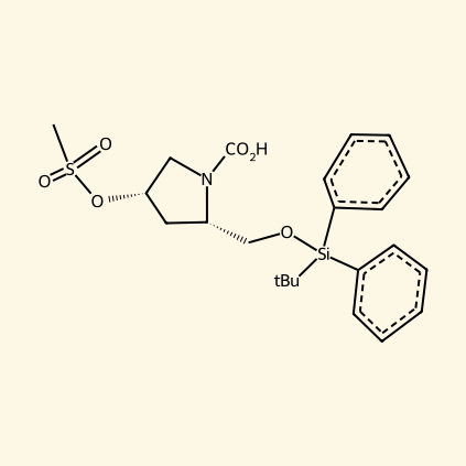 CC(C)(C)[Si](OC[C@@H]1C[C@H](OS(C)(=O)=O)CN1C(=O)O)(c1ccccc1)c1ccccc1